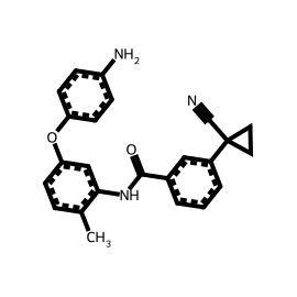 Cc1ccc(Oc2ccc(N)cc2)cc1NC(=O)c1cccc(C2(C#N)CC2)c1